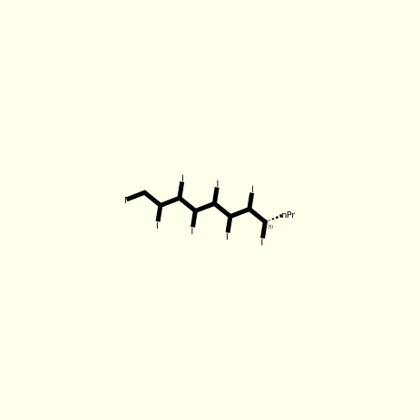 CCC[C@H](I)C(I)C(I)C(I)C(I)C(I)C(I)CI